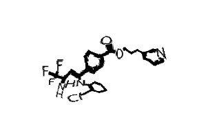 N=C(/C=C(\NC1=C(Cl)CCC=C1)c1ccc(C(=O)OCCCc2cccnc2)cc1)C(F)(F)F